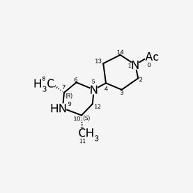 CC(=O)N1CCC(N2C[C@@H](C)N[C@@H](C)C2)CC1